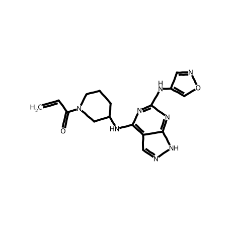 C=CC(=O)N1CCCC(Nc2nc(Nc3cnoc3)nc3[nH]ncc23)C1